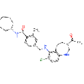 Cc1cc(CNc2c(Cl)ccc3c2CCC(C(=O)C(F)(F)F)CN3)ccc1C(=O)NC1CCCCCC1